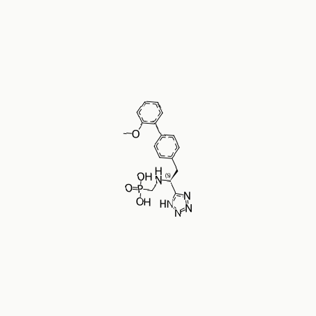 COc1ccccc1-c1ccc(C[C@H](NCP(=O)(O)O)c2nnn[nH]2)cc1